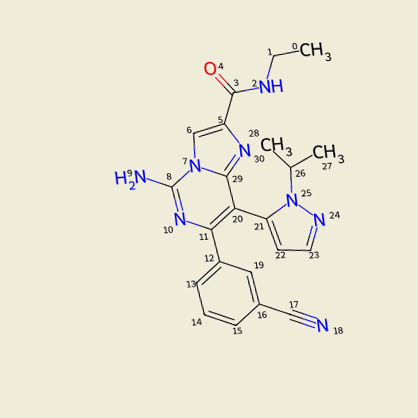 CCNC(=O)c1cn2c(N)nc(-c3cccc(C#N)c3)c(-c3ccnn3C(C)C)c2n1